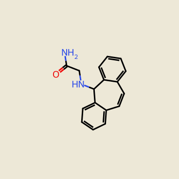 NC(=O)CNC1c2ccccc2C=Cc2ccccc21